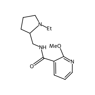 CCN1CCCC1CNC(=O)c1cccnc1OC